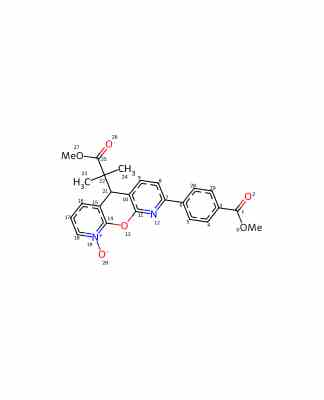 COC(=O)c1ccc(-c2ccc3c(n2)Oc2c(ccc[n+]2[O-])C3C(C)(C)C(=O)OC)cc1